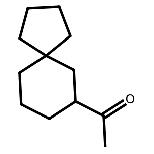 CC(=O)C1CCCC2(CCCC2)C1